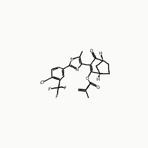 C=C(C)C(=O)OC1=C(c2nc(-c3ccc(Cl)c(C(F)(F)F)c3)sc2C)C(=O)[C@@H]2CC[C@H]1C2